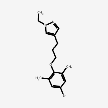 CCn1cc(CCCOc2c(C)cc(Br)cc2C)[c]n1